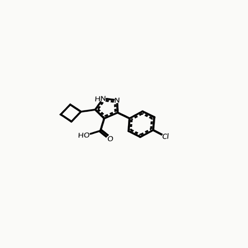 O=C(O)c1c(-c2ccc(Cl)cc2)n[nH]c1C1CCC1